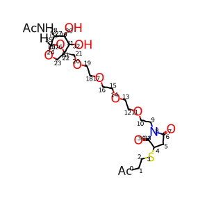 CC(=O)CCSC1CC(=O)N(CCOCCOCCOCCOC[C@@]23CO[C@@H](O2)[C@@H](NC(C)=O)C(O)C3O)C1=O